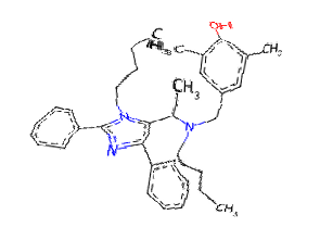 CCCCN(Cc1cc(C)c(O)c(C)c1)C(C)c1c(-c2ccccc2)nc(-c2ccccc2)n1CCCC